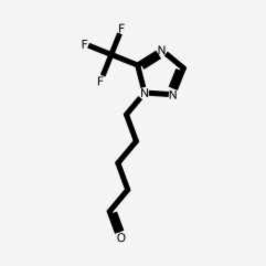 O=CCCCCn1ncnc1C(F)(F)F